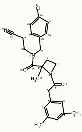 Cc1cc(C)cc(CC(=O)N2CCC2(C)C(=O)N(CCC#N)Cc2ccc(Cl)cc2)c1